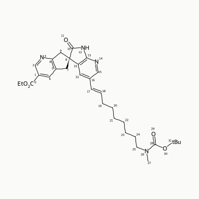 CCOC(=O)c1cnc2c(c1)C[C@@]1(C2)C(=O)Nc2ncc(/C=C/CCCCCCCN(C)C(=O)OC(C)(C)C)cc21